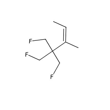 CC=C(C)C(CF)(CF)CF